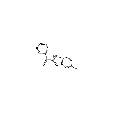 O=C(c1cccnc1)c1cc2cc(F)ccc2[nH]1